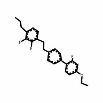 CCCc1ccc(CCc2ccc(-c3ccc(OCC)cc3F)cc2)c(F)c1F